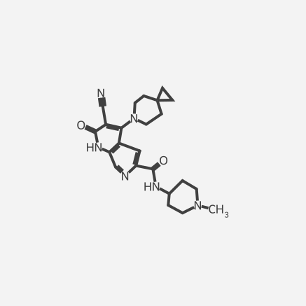 CN1CCC(NC(=O)c2cc3c(N4CCC5(CC4)CC5)c(C#N)c(=O)[nH]c3cn2)CC1